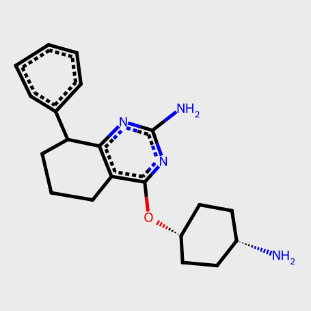 Nc1nc(O[C@H]2CC[C@@H](N)CC2)c2c(n1)C(c1ccccc1)CCC2